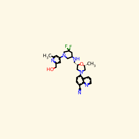 Cc1cc(N2CC(NC[C@H]3CN(c4ccc(C#N)c5ncccc45)C[C@@H](C)O3)CC(F)(F)C2)cc(CO)n1